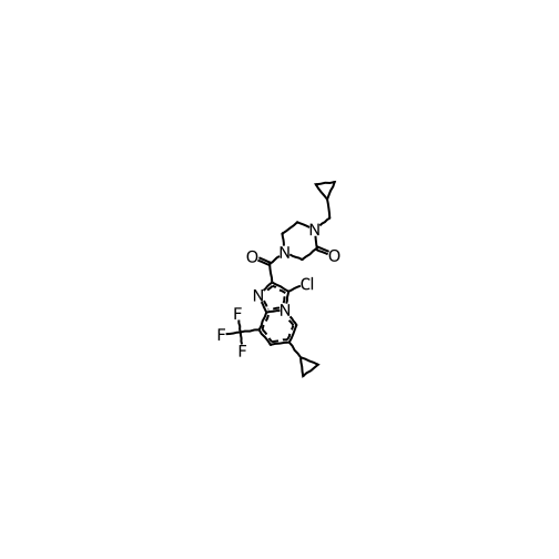 O=C1CN(C(=O)c2nc3c(C(F)(F)F)cc(C4CC4)cn3c2Cl)CCN1CC1CC1